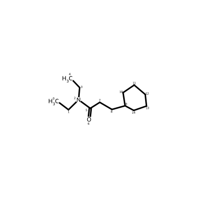 CCN(CC)C(=O)CCC1CCCCC1